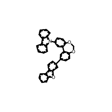 c1ccc2c(c1)oc1cc(-c3ccc4c(c3)-c3cc(-n5c6ccccc6c6ccccc65)ccc3OCO4)ccc12